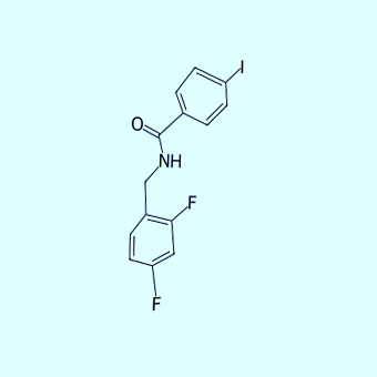 O=C(NCc1ccc(F)cc1F)c1ccc(I)cc1